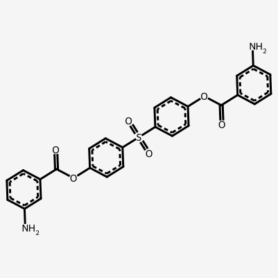 Nc1cccc(C(=O)Oc2ccc(S(=O)(=O)c3ccc(OC(=O)c4cccc(N)c4)cc3)cc2)c1